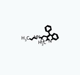 CCCCNC(=O)Cc1c(C)nc2ccccc2c1-c1ccccc1